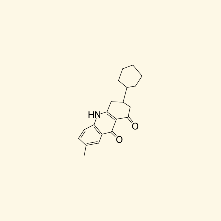 Cc1ccc2[nH]c3c(c(=O)c2c1)C(=O)CC(C1CCCCC1)C3